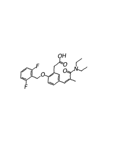 CCN(CC)C(=O)/C(C)=C\c1ccc(OCc2c(F)cccc2F)c(CC(=O)O)c1